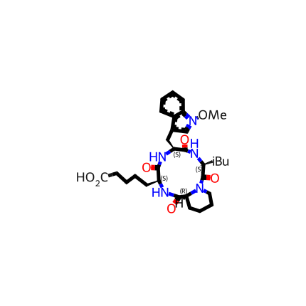 CCC(C)[C@@H]1NC(=O)[C@H](Cc2cn(OC)c3ccccc23)NC(=O)[C@H](CCCCC(=O)O)NC(=O)[C@H]2CCCCN2C1=O